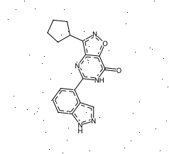 O=c1[nH]c(-c2cccc3[nH]ncc23)nc2c(C3CCCC3)noc12